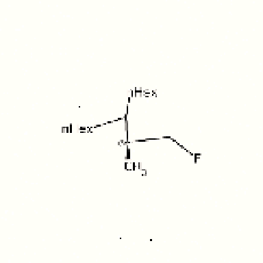 CCCCCCC(CCCCCC)[C@H](C)CF